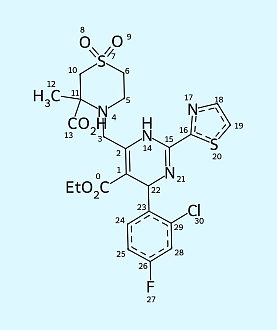 CCOC(=O)C1=C(CN2CCS(=O)(=O)CC2(C)C(=O)O)NC(c2nccs2)=NC1c1ccc(F)cc1Cl